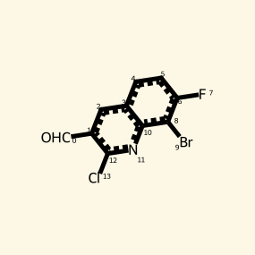 O=Cc1cc2ccc(F)c(Br)c2nc1Cl